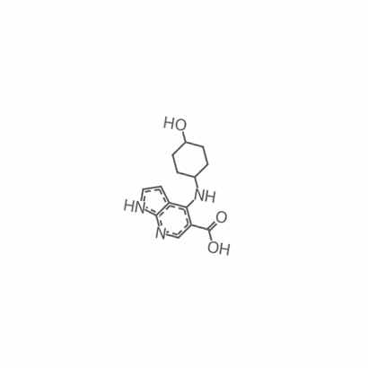 O=C(O)c1cnc2[nH]ccc2c1NC1CCC(O)CC1